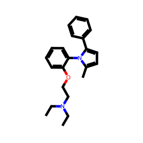 CCN(CC)CCOc1ccccc1-n1c(C)ccc1-c1ccccc1